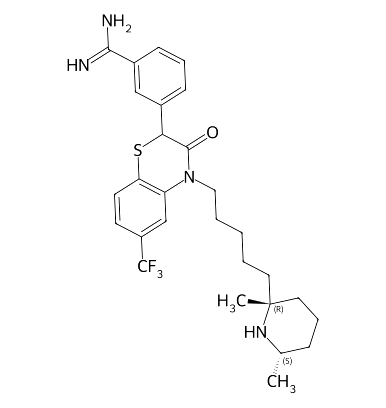 C[C@H]1CCC[C@@](C)(CCCCCN2C(=O)C(c3cccc(C(=N)N)c3)Sc3ccc(C(F)(F)F)cc32)N1